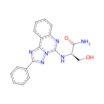 NC(=O)[C@@H](CO)Nc1nc2ccccc2c2nc(-c3ccccc3)nn12